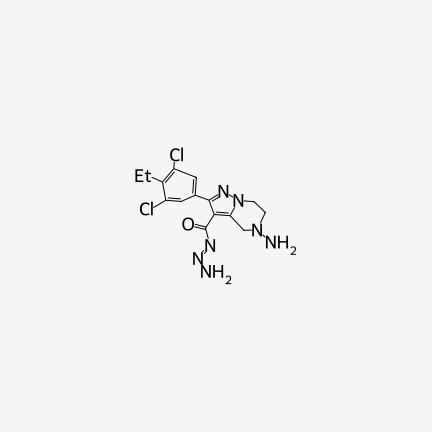 CCc1c(Cl)cc(-c2nn3c(c2C(=O)N=NN)CN(N)CC3)cc1Cl